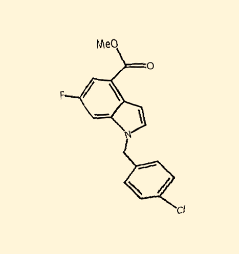 COC(=O)c1cc(F)cc2c1ccn2Cc1ccc(Cl)cc1